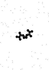 Cn1c2c(-c3cccc(-c4nc(-c5ccccc5)nc(-c5cc(-c6ccccc6)cc(-c6ccccc6)c5)n4)c3)cccc2c2cccc(-c3cccc(-c4nc(-c5ccccc5)nc(-c5cc(-c6ccccc6)cc(-c6ccccc6)c5)n4)c3)c21